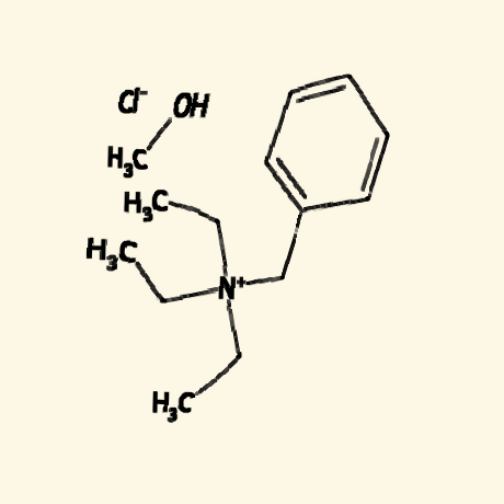 CC[N+](CC)(CC)Cc1ccccc1.CO.[Cl-]